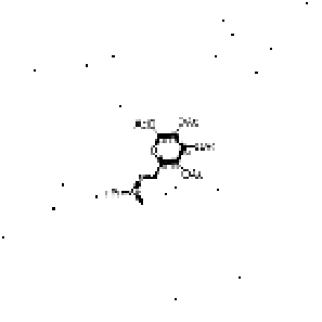 CCC[As](C)SC[C@H]1O[C@H](OC(C)=O)[C@H](OC(C)=O)[C@@H](OC(C)=O)[C@@H]1OC(C)=O